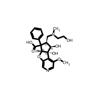 COc1cncc2c1[C@]1(O)[C@H](O)[C@H](CN(C)CCO)C(C(=O)O)(c3ccccc3)[C@H]1O2